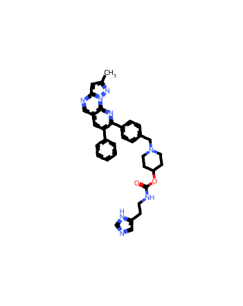 Cc1cc2ncc3cc(-c4ccccc4)c(-c4ccc(CN5CCC(OC(=O)NCCc6cnc[nH]6)CC5)cc4)nc3n2n1